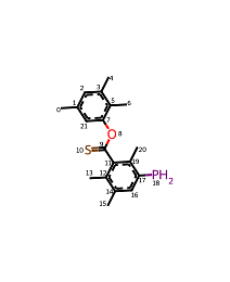 Cc1cc(C)c(C)c(OC(=S)c2c(C)c(C)cc(P)c2C)c1